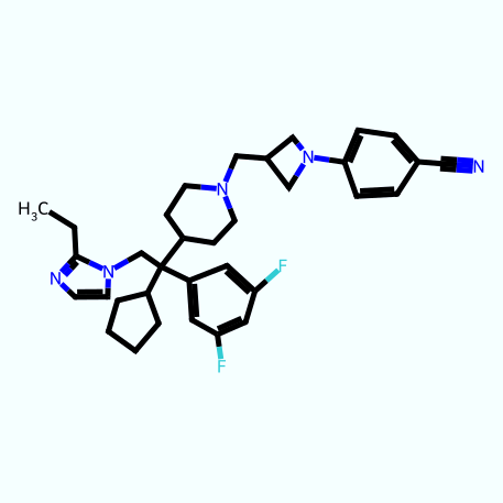 CCc1nccn1CC(c1cc(F)cc(F)c1)(C1CCCC1)C1CCN(CC2CN(c3ccc(C#N)cc3)C2)CC1